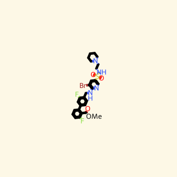 COC(=O)c1c(F)cccc1-c1ccc(CNc2ncc(S(=O)(=O)NCCN3CCCCC3)cc2Br)c(F)c1